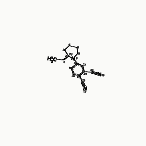 CC[C@H]1CCCCN1c1ccc(C#N)c(C#N)c1